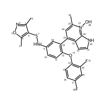 Cc1noc(C)c1SNc1ccc(Oc2ccc(F)cc2F)c(-c2cc(C)[n+](O)c3[nH]ccc23)c1